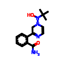 CC(C)(C)N(O)N1C=CN=C(c2ccccc2C(N)=O)C1